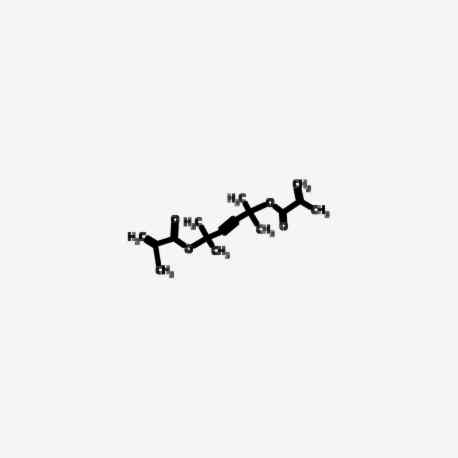 C=C(C)C(=O)OC(C)(C)C#CC(C)(C)OC(=O)C(=C)C